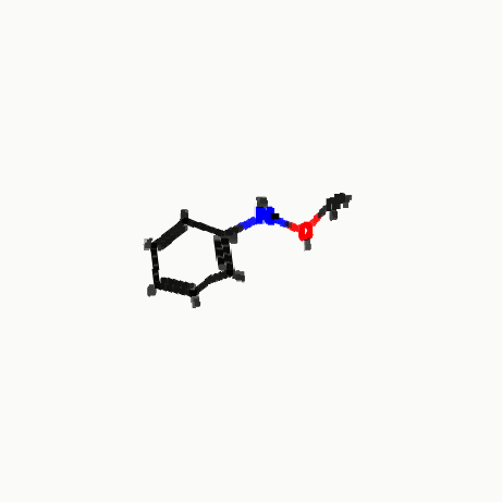 CCCO[N]c1ccccc1